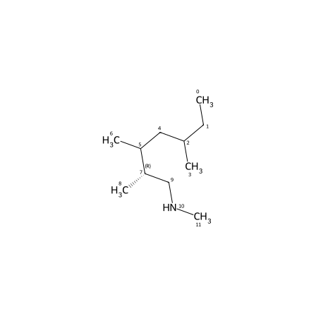 CCC(C)CC(C)[C@@H](C)CNC